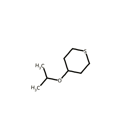 CC(C)OC1CCSCC1